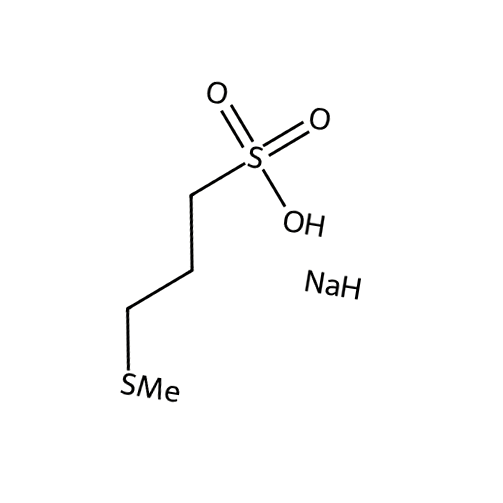 CSCCCS(=O)(=O)O.[NaH]